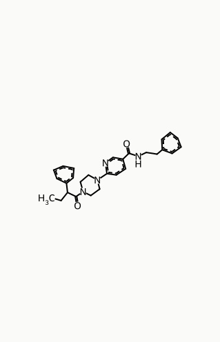 CCC(C(=O)N1CCN(c2ccc(C(=O)NCCc3ccccc3)cn2)CC1)c1ccccc1